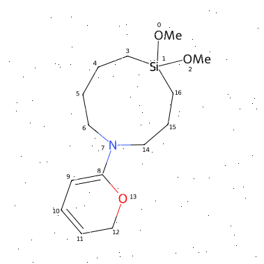 CO[Si]1(OC)CCCCN(C2=CC=CCO2)CCC1